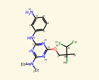 CCN(CC)c1nc(Nc2cccc(N)c2)nc(OCC(C)(F)C(F)F)n1